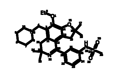 CCOc1c(CN2CCCCC2)c2c(c3c1OC(C)(C)C3)C(c1cccc(NS(C)(=O)=O)c1)=NC(C)(C)C2